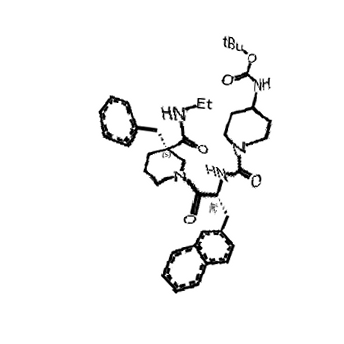 CCNC(=O)[C@]1(Cc2ccccc2)CCCN(C(=O)[C@@H](Cc2ccc3ccccc3c2)NC(=O)N2CCC(NC(=O)OC(C)(C)C)CC2)C1